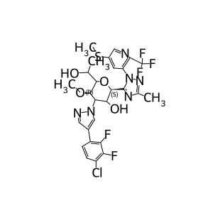 CO[C@H]1C(C(C)O)O[C@@H](c2nc(C)nn2-c2cc(SC)cnc2C(F)(F)F)C(O)C1n1cc(-c2ccc(Cl)c(F)c2F)cn1